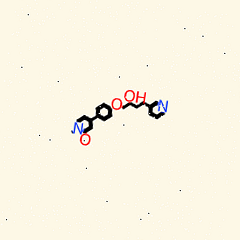 Cn1ccc(-c2ccc(OCC(O)CCc3cccnc3)cc2)cc1=O